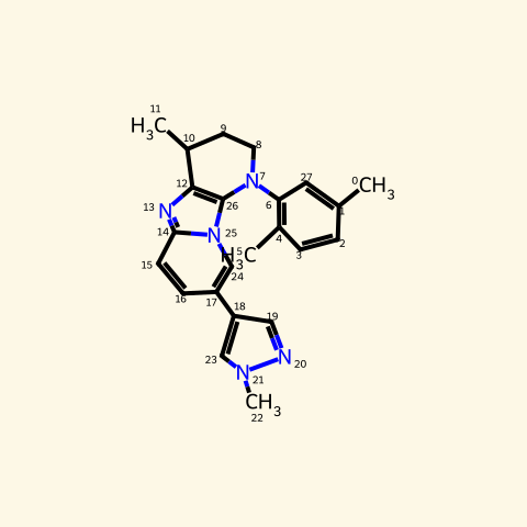 Cc1ccc(C)c(N2CCC(C)c3nc4ccc(-c5cnn(C)c5)cn4c32)c1